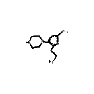 CCCc1nc(N)sc1N1CCNCC1